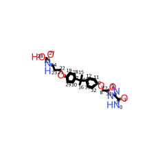 CNC(=O)c1noc(COc2ccc(C(C)(C)c3ccc(OCCCNC(=O)O)cc3)cc2)n1